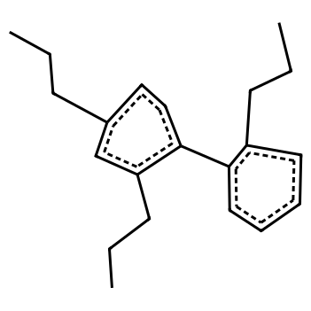 CCCc1ccc(-c2ccccc2CCC)c(CCC)c1